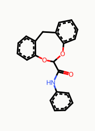 O=C(Nc1ccccc1)C1Oc2ccccc2Cc2ccccc2O1